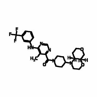 Cc1c(Nc2cccc(C(F)(F)F)c2)ncnc1C(=O)N1CCC(N2CCO[C@H]3COCC[C@H]32)CC1